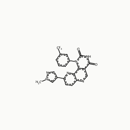 Cn1cc(-c2ccc3ncc4c(=O)[nH]c(=O)n(-c5cccc(C(F)(F)F)c5)c4c3n2)cn1